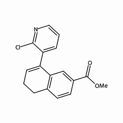 COC(=O)c1ccc2c(c1)C(c1cccnc1Cl)=CCC2